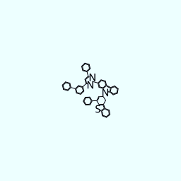 C1=C(c2ccccc2)c2sc3ccccc3c2CC1n1c2ccccc2c2ccc(-c3nc(-c4ccccc4)cc(-c4cccc(-c5ccccc5)c4)n3)cc21